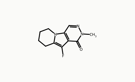 Cn1ncc2c(c(F)c3n2CCCC3)c1=O